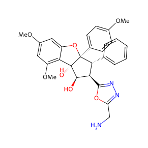 COc1ccc([C@@]23Oc4cc(OC)cc(OC)c4[C@]2(O)[C@H](O)[C@H](c2nnc(CN)o2)[C@H]3c2ccccc2)cc1